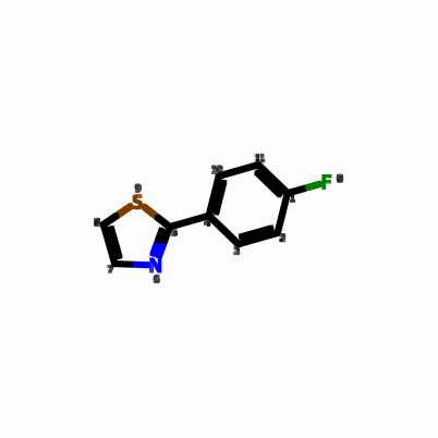 Fc1ccc(-c2nccs2)cc1